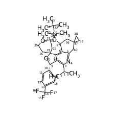 CC(C)c1nc2c(c3c1[C@H](c1ccc(C(F)(F)F)cc1)OC31CCOCC1)C(O[Si](C)(C)C(C)(C)C)CC1(CC1)C2